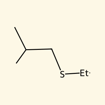 C[CH]SCC(C)C